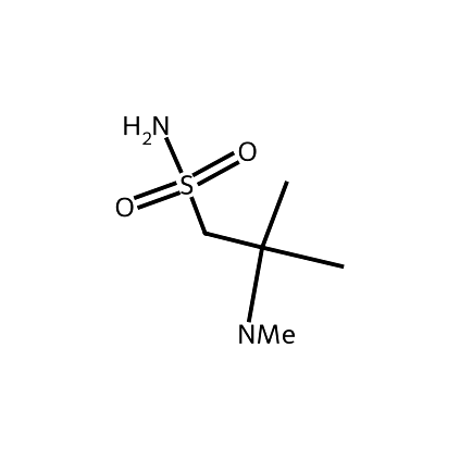 CNC(C)(C)CS(N)(=O)=O